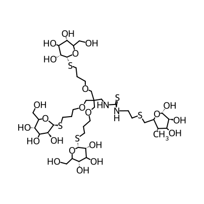 C[C@@H]1C(CSCCNC(=S)NCC(COCCCS[C@H]2OC(CO)[C@@H](O)C(O)[C@H]2O)(COCCCS[C@H]2OC(CO)[C@@H](O)C(O)[C@H]2O)COCCCS[C@@H]2OC(CO)[C@@H](O)C(O)[C@@H]2O)O[C@H](O)[C@@H](O)C1O